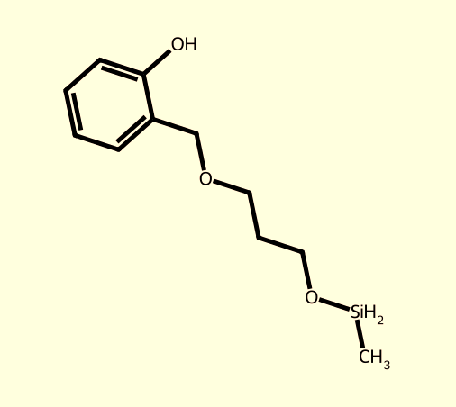 C[SiH2]OCCCOCc1ccccc1O